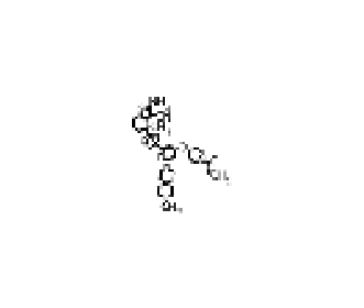 C=CC(=O)N1CCC(Oc2cc(-c3noc(C4(C)CCCc5sc(N)c(C#N)c54)n3)nc(N3CCC4(CCN(C)CC4)CC3)c2)CC1